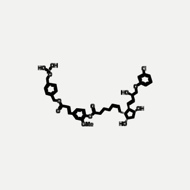 COc1cc(/C=C/C(=O)OCc2ccc(CON(O)O)cc2)ccc1OC(=O)CCC/C=C\C[C@@H]1[C@@H](/C=C/[C@@H](O)COc2cccc(Cl)c2)[C@H](O)C[C@@H]1O